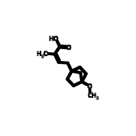 COC12CCC(CC=C(C)C(=O)O)(CC1)C2